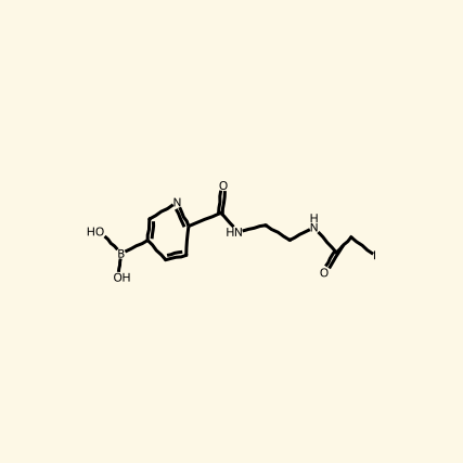 O=C(CI)NCCNC(=O)c1ccc(B(O)O)cn1